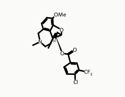 COc1ccc2c3c1OC1C[C@@H](OC(=O)c4ccc(Cl)c(C(F)(F)F)c4)C(C)[C@@]31CCN(C)C2